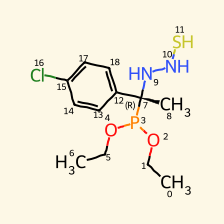 CCOP(OCC)[C@@](C)(NNS)c1ccc(Cl)cc1